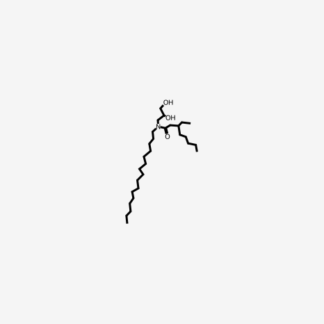 CCCCCCCCCCCCCCCCN(CC(O)CO)C(=O)CC(CC)CCCCC